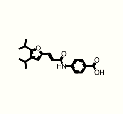 CC(C)c1cc(C=CC(=O)Nc2ccc(C(=O)O)cc2)oc1C(C)C